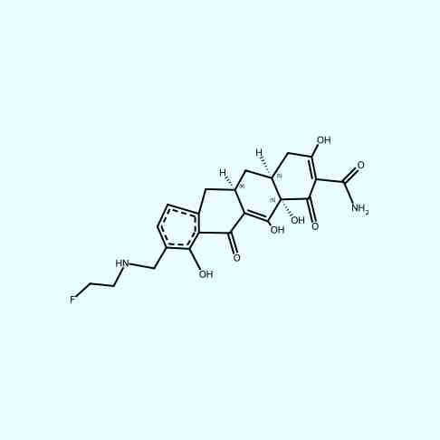 NC(=O)C1=C(O)C[C@@H]2C[C@@H]3Cc4ccc(CNCCF)c(O)c4C(=O)C3=C(O)[C@]2(O)C1=O